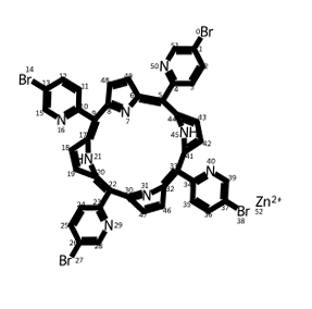 Brc1ccc(-c2c3nc(c(-c4ccc(Br)cn4)c4ccc([nH]4)c(-c4ccc(Br)cn4)c4nc(c(-c5ccc(Br)cn5)c5ccc2[nH]5)C=C4)C=C3)nc1.[Zn+2]